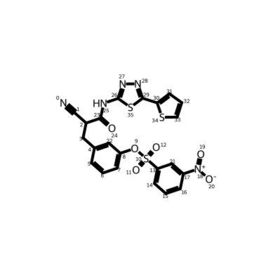 N#CC(Cc1cccc(OS(=O)(=O)c2cccc([N+](=O)[O-])c2)c1)C(=O)Nc1nnc(-c2cccs2)s1